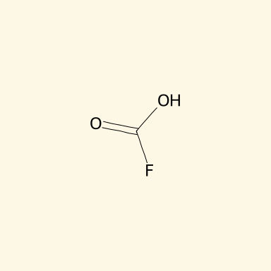 O=C(O)F